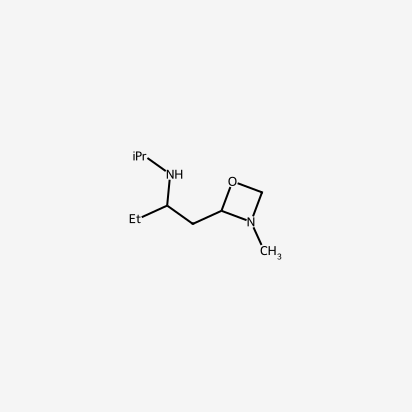 CCC(CC1OCN1C)NC(C)C